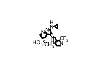 CS(=O)(=O)O.FC(F)(F)c1ncccc1CNc1nc(NC2CC2)nc2ncccc12